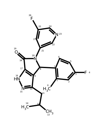 Cc1cc(F)ccc1C1c2c(CC(C)C)n[nH]c2C(=O)N1c1cncc(F)c1